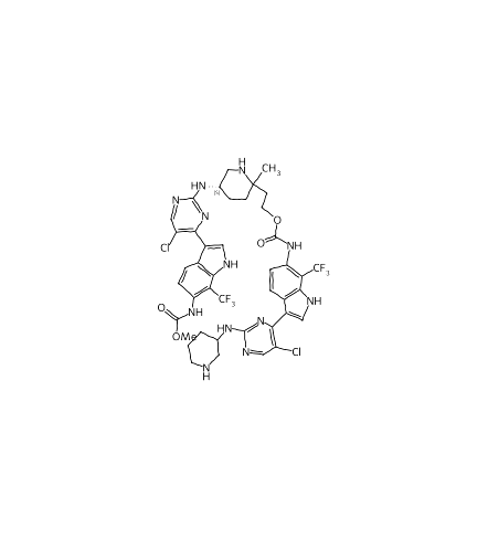 COC(=O)Nc1ccc2c(-c3nc(N[C@H]4CCC(C)(CCOC(=O)Nc5ccc6c(-c7nc(NC8CCCNC8)ncc7Cl)c[nH]c6c5C(F)(F)F)NC4)ncc3Cl)c[nH]c2c1C(F)(F)F